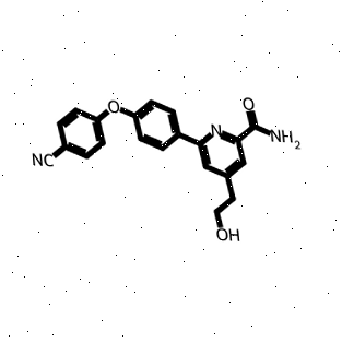 N#Cc1ccc(Oc2ccc(-c3cc(CCO)cc(C(N)=O)n3)cc2)cc1